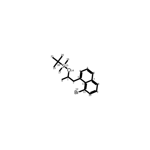 CC(Cc1cccc2cccc(Br)c12)O[Si](C)(C)C(C)(C)C